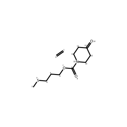 C=C.CSCCCOC(=O)N1CCC(=O)CC1